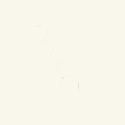 O=C(O)CC(OC(=O)CCCCN1CCOCC1)C(=O)O